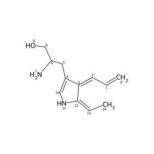 C=C/C=c1/c(CC(N)CO)c[nH]/c1=C/C